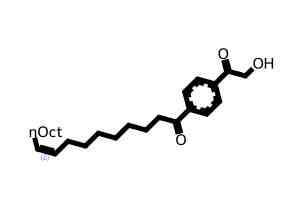 CCCCCCCC/C=C\CCCCCCCC(=O)c1ccc(C(=O)CO)cc1